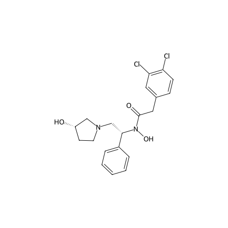 O=C(Cc1ccc(Cl)c(Cl)c1)N(O)[C@@H](CN1CC[C@H](O)C1)c1ccccc1